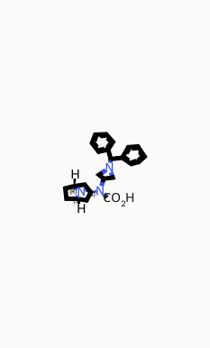 CN1[C@@H]2CC[C@H]1C[C@H](N(C(=O)O)C1CN(C(c3ccccc3)c3ccccc3)C1)C2